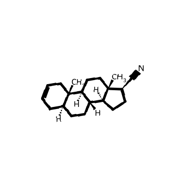 C[C@]12CC=CC[C@@H]1CC[C@@H]1[C@@H]2CC[C@]2(C)[C@@H](C#N)CC[C@@H]12